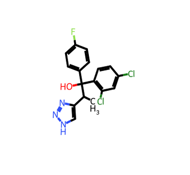 CC(c1c[nH]nn1)C(O)(c1ccc(F)cc1)c1ccc(Cl)cc1Cl